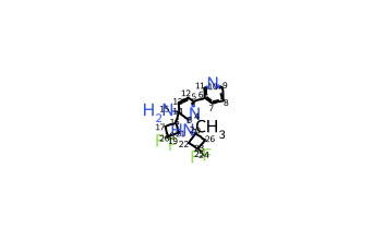 CC1(NC2N=C(c3cccnc3)C=CC2(N)C2CC(F)(F)C2)CC(F)(F)C1